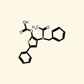 CC(=O)N(Cc1ccccc1)c1cc(-c2ccccc2)sc1OC(=O)O